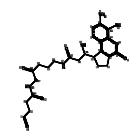 Nc1ccc2c3c(c(=O)oc2c1S)CCC3C(S)CC(=O)NCCCC(=O)ONC(=O)CCC=O